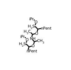 CCCCCC(OC(C)NC(C)OC(CCCCC)[SiH2]OC(C)C)[SiH2]OC(C)C